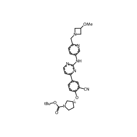 COC1CN(Cc2ccc(Nc3nccc(-c4ccc(O[C@@H]5CCN(C(=O)OC(C)(C)C)C5)c(C#N)c4)n3)cn2)C1